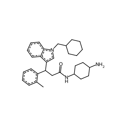 Cc1ccccc1C(CC(=O)NC1CCC(N)CC1)c1cn(CC2CCCCC2)c2ccccc12